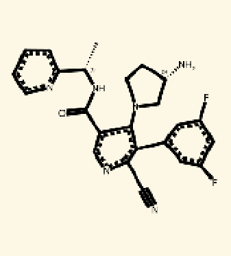 C[C@H](NC(=O)c1cnc(C#N)c(-c2cc(F)cc(F)c2)c1N1CC[C@H](N)C1)c1ccccn1